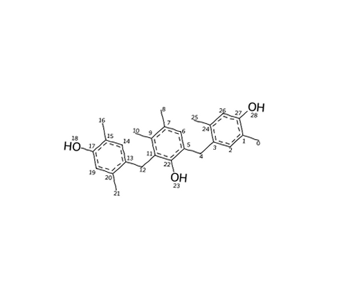 Cc1cc(Cc2cc(C)c(C)c(Cc3cc(C)c(O)cc3C)c2O)c(C)cc1O